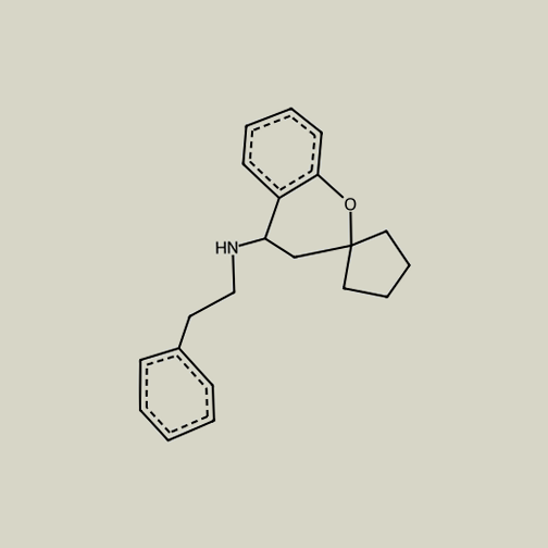 c1ccc(CCNC2CC3(CCCC3)Oc3ccccc32)cc1